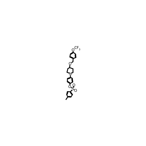 Cc1ccc(S(=O)(=O)Oc2ccc(N3CCC(OCc4ccc(OC(F)(F)F)cc4)CC3)cc2)cc1